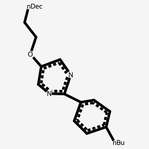 CCCCCCCCCCCCOc1cnc(-c2ccc(CCCC)cc2)nc1